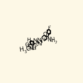 CS(=N)(=O)c1cccc(Sc2ncc(N3CCC4(CC3)Oc3cc(F)ccc3[C@H]4N)nc2N)c1Cl